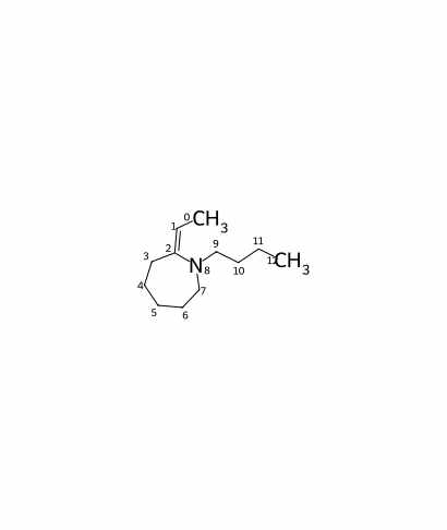 CC=C1CCCCCN1CCCC